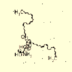 CCCCC/C=C\C/C=C\C/C=C\C/C=C\CCCCCC(=O)OC[C@H](COP(=O)(O)OC[C@H](N)C(=O)O)OC(=O)CCCCC/C=C\C/C=C\C/C=C\C/C=C\CCCCC